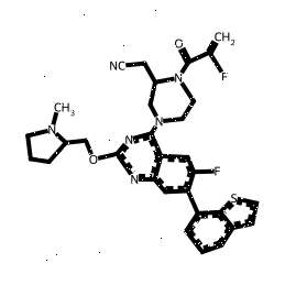 C=C(F)C(=O)N1CCN(c2nc(OCC3CCCN3C)nc3cc(-c4cccc5ccsc45)c(F)cc23)CC1CC#N